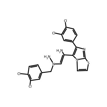 N/C(=C\N(N)Cc1ccc(Cl)c(Cl)c1)c1c(-c2ccc(Cl)c(Cl)c2)nc2sccn12